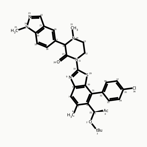 CC(=O)[C@@H](OC(C)(C)C)c1c(C)cc2nc(N3CCN(C)C(c4ccc5c(cnn5C)c4)C3=O)sc2c1-c1ccc(Cl)cc1